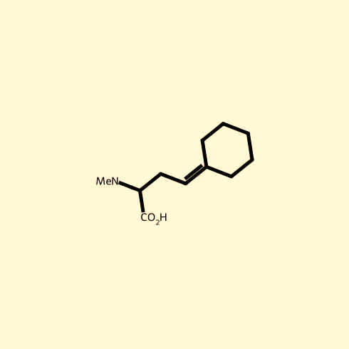 CNC(CC=C1CCCCC1)C(=O)O